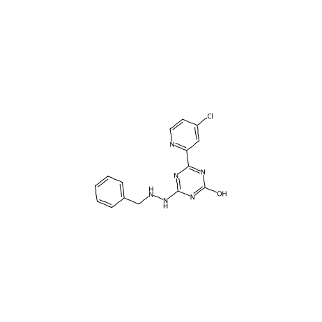 Oc1nc(NNCc2ccccc2)nc(-c2cc(Cl)ccn2)n1